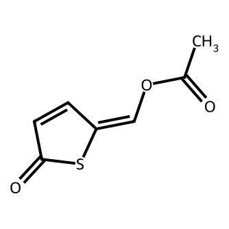 CC(=O)O/C=C1\C=CC(=O)S1